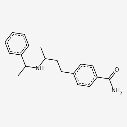 CC(CCc1ccc(C(N)=O)cc1)NC(C)c1ccccc1